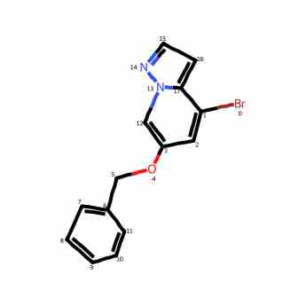 Brc1cc(OCc2ccccc2)cn2nccc12